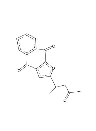 CC(=O)CC(C)c1cc2c(o1)C(=O)c1ccccc1C2=O